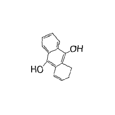 Oc1c2c(c(O)c3ccccc13)CCC=C2